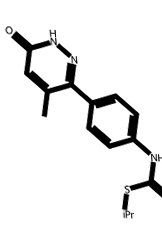 Cc1cc(=O)[nH]nc1-c1ccc(NC(=O)SC(C)C)cc1